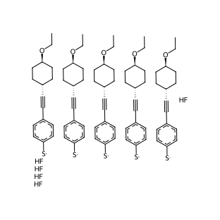 CCO[C@H]1CC[C@H](C#Cc2ccc([S])cc2)CC1.CCO[C@H]1CC[C@H](C#Cc2ccc([S])cc2)CC1.CCO[C@H]1CC[C@H](C#Cc2ccc([S])cc2)CC1.CCO[C@H]1CC[C@H](C#Cc2ccc([S])cc2)CC1.CCO[C@H]1CC[C@H](C#Cc2ccc([S])cc2)CC1.F.F.F.F.F